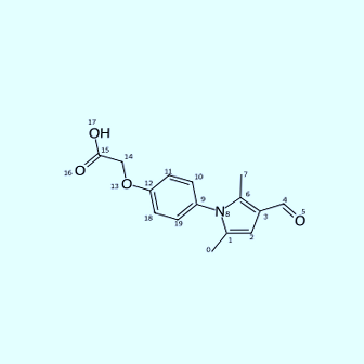 Cc1cc(C=O)c(C)n1-c1ccc(OCC(=O)O)cc1